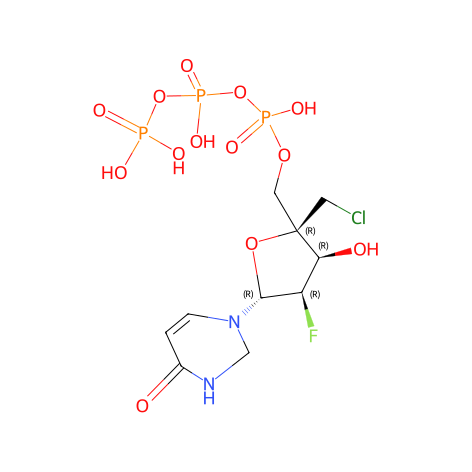 O=C1C=CN([C@@H]2O[C@](CCl)(COP(=O)(O)OP(=O)(O)OP(=O)(O)O)[C@@H](O)[C@H]2F)CN1